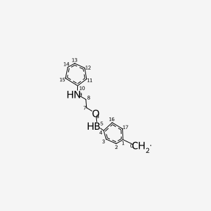 [CH2]c1ccc(BOCCNc2ccccc2)cc1